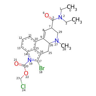 CCN(CC)C(=O)C1C=C2c3cccc4c3c(c(Br)n4C(=O)OCCl)CC2N(C)C1